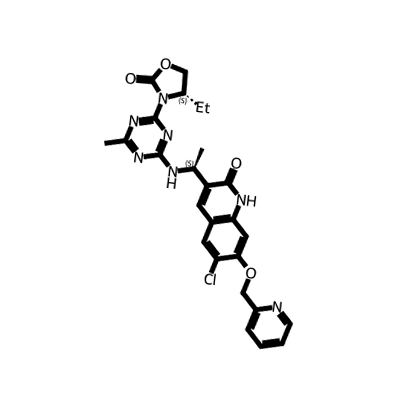 CC[C@H]1COC(=O)N1c1nc(C)nc(N[C@@H](C)c2cc3cc(Cl)c(OCc4ccccn4)cc3[nH]c2=O)n1